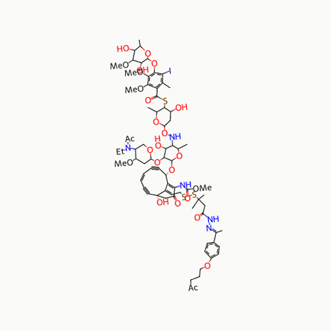 CCN(C(C)=O)C1COC(OC2C(O[C@H]3C#C/C=C\C#C[C@]4(O)CC(=O)C(NC(=O)OC)=C3/C4=C\CSSC(C)(C)CC(=O)N/N=C(\C)c3ccc(OCCCC(C)=O)cc3)OC(C)C(NOC3CC(O)C(SC(=O)c4c(C)c(I)c(OC5OC(C)C(O)C(OC)C5O)c(OC)c4OC)C(C)O3)C2O)CC1OC